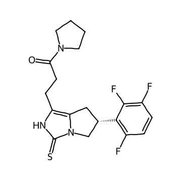 O=C(CCc1[nH]c(=S)n2c1C[C@H](c1c(F)ccc(F)c1F)C2)N1CCCC1